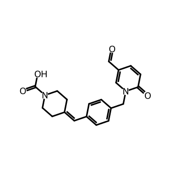 O=Cc1ccc(=O)n(Cc2ccc(C=C3CCN(C(=O)O)CC3)cc2)c1